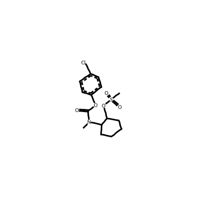 CN(C(=O)Oc1ccc(Cl)cc1)C1CCCCC1OS(C)(=O)=O